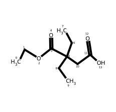 CCOC(=O)C(CC)(CC)CC(=O)O